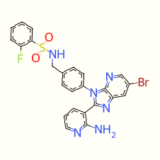 Nc1ncccc1-c1nc2cc(Br)cnc2n1-c1ccc(CNS(=O)(=O)c2ccccc2F)cc1